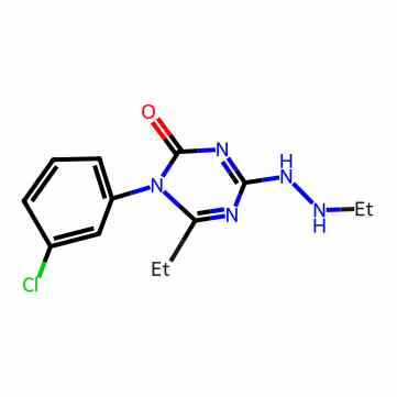 CCNNc1nc(CC)n(-c2cccc(Cl)c2)c(=O)n1